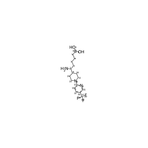 NC(CCCCB(O)O)C1CCN(c2ccc(C(F)(F)F)cn2)CC1